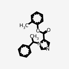 Cc1ccccc1OC(=O)c1cncn1C(C)c1ccccc1